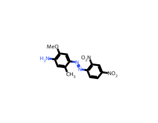 COc1cc(N=Nc2ccc([N+](=O)[O-])cc2[N+](=O)[O-])c(C)cc1N